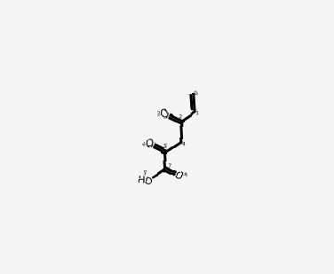 C=CC(=O)CC(=O)C(=O)O